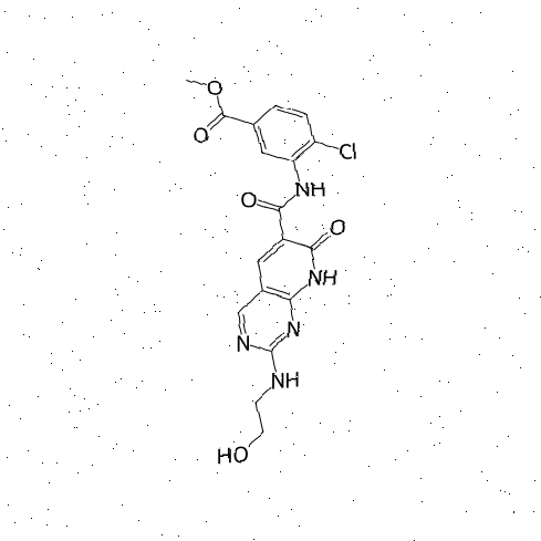 COC(=O)c1ccc(Cl)c(NC(=O)c2cc3cnc(NCCO)nc3[nH]c2=O)c1